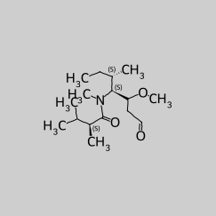 CC[C@H](C)[C@@H](C(CC=O)OC)N(C)C(=O)[C@@H](C)C(C)C